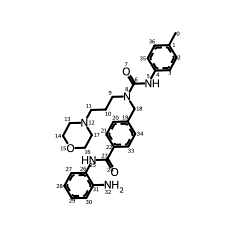 Cc1ccc(NC(=O)N(CCCN2CCOCC2)Cc2ccc(C(=O)Nc3ccccc3N)cc2)cc1